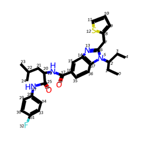 CCC(CC)n1c(Cc2cccs2)nc2cc(C(=O)NC(CC(C)C)C(=O)Nc3ccc(F)cc3)ccc21